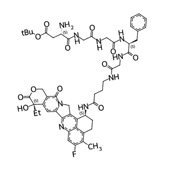 CC[C@@]1(O)C(=O)OCc2c1cc1n(c2=O)Cc2c-1nc1cc(F)c(C)c3c1c2[C@@H](NC(=O)CCCNC(=O)CNC(=O)[C@H](Cc1ccccc1)NC(=O)CNC(=O)CNC(=O)[C@@H](N)CC(=O)OC(C)(C)C)CC3